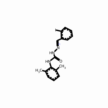 Cc1cccc(C)c1NC(=O)N/N=C/c1ccccc1I